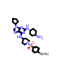 CC(=O)Nc1ccc(S(=O)(=O)N2CCC(Nc3nc(N[C@H]4CC[C@H](N)CC4)nc4c3ncn4C3CCCC3)CC2)cc1